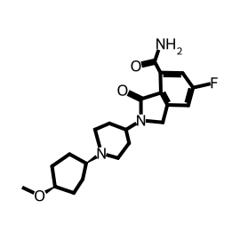 CO[C@H]1CC[C@@H](N2CCC(N3Cc4cc(F)cc(C(N)=O)c4C3=O)CC2)CC1